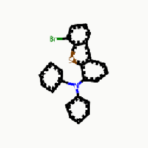 Brc1cccc2c1sc1c(N(c3ccccc3)c3ccccc3)cccc12